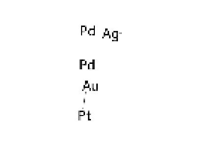 [Ag].[Pd].[Pd].[Pt][Au]